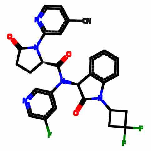 N#Cc1ccnc(N2C(=O)CC[C@H]2C(=O)N(c2cncc(F)c2)[C@@H]2C(=O)N(C3CC(F)(F)C3)c3ccccc32)c1